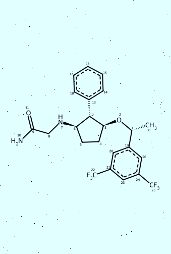 C[C@@H](O[C@H]1CC[C@@H](NCC(N)=O)[C@@H]1c1ccccc1)c1cc(C(F)(F)F)cc(C(F)(F)F)c1